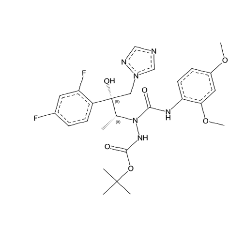 COc1ccc(NC(=O)N(NC(=O)OC(C)(C)C)[C@H](C)[C@](O)(Cn2cncn2)c2ccc(F)cc2F)c(OC)c1